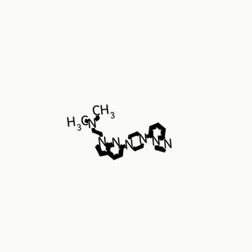 CCN(C)CCn1ccc2ccc(N3CCN(c4cccc5nccn45)CC3)nc21